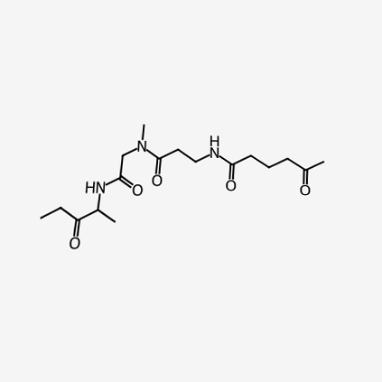 CCC(=O)C(C)NC(=O)CN(C)C(=O)CCNC(=O)CCCC(C)=O